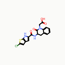 O=C(O)CN1C(=O)C(NC(=O)c2cc3cc(Cl)sc3[nH]2)Cc2ccccc21